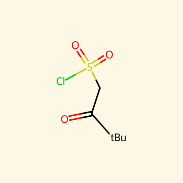 CC(C)(C)C(=O)CS(=O)(=O)Cl